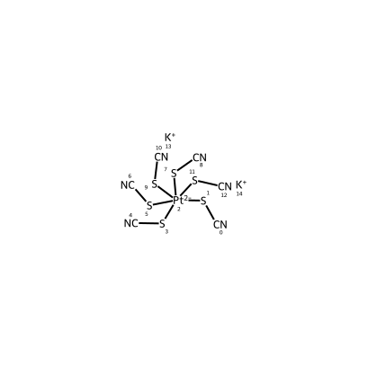 N#C[S][Pt-2]([S]C#N)([S]C#N)([S]C#N)([S]C#N)[S]C#N.[K+].[K+]